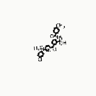 Cc1ccc(C(=O)Nc2ccc(C(=O)c3ccc(N(C)c4ccc(Cl)cc4)cn3)cc2C(=O)O)cc1